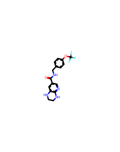 O=C(NCc1ccc(OC(F)(F)F)cc1)c1cnc2c(c1)NCCN2